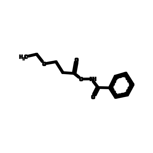 CCOCCC(=O)ONC(=O)c1ccccc1